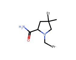 CCC1(C)CC(C(N)=O)N(C[C](C)C)C1